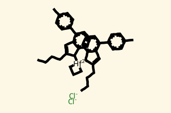 CCCCC1=Cc2c(-c3ccc(C)cc3)cccc2[CH]1[Hf+2]1([CH]2C(CCCC)=Cc3c(-c4ccc(C)cc4)cccc32)[CH2]C[CH2]1.[Cl-].[Cl-]